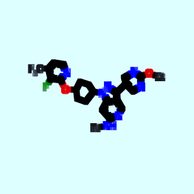 CCNc1cc2c(cn1)c(-c1cnc(OCC)nc1)nn2C1CCC(Oc2nccc(C(F)(F)F)c2F)CC1